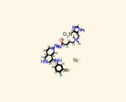 Cn1cnc([N+](=O)[O-])c1C[N+](C)(C)C/C=C/C(=O)N=NN1C=CC2=CNC=C(Nc3ccc(F)c(Br)c3)C2=C1.[Br-]